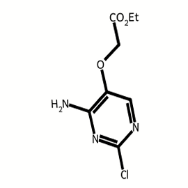 CCOC(=O)COc1cnc(Cl)nc1N